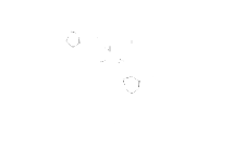 CCOC(=O)[C@H](Cc1cccs1)NC(=O)[C@@H](N)Cc1cc(SCCCl)cc(SCCCl)c1.Cl